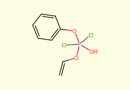 C=COP(O)(Cl)(Cl)Oc1ccccc1